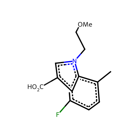 COCCn1cc(C(=O)O)c2c(F)ccc(C)c21